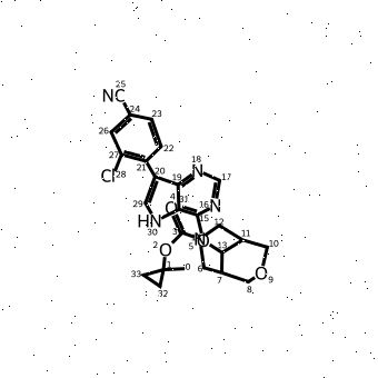 CC1(OC(=O)N2CC3COCC(C2)C3Oc2ncnc3c(-c4ccc(C#N)cc4Cl)c[nH]c23)CC1